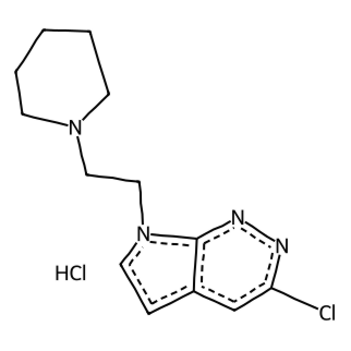 Cl.Clc1cc2ccn(CCN3CCCCC3)c2nn1